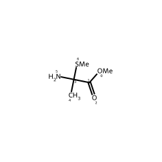 COC(=O)C(C)(N)SC